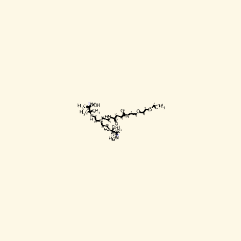 CCOCCOCCNC(=O)CCC(=O)NCCN(CCNC(C)(C)/C(C)=N\O)CCNC(C)(C)/C(C)=N\O